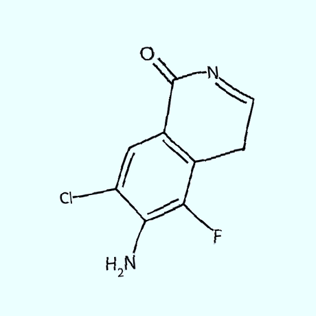 Nc1c(Cl)cc2c(c1F)CC=NC2=O